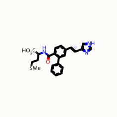 CSCCC(NC(=O)c1ccc(/C=C/c2c[nH]cn2)cc1-c1ccccc1)C(=O)O